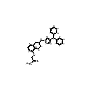 COC(=O)COc1cccc2c1CCC(Cn1cc(C(c3ccccc3)c3ccccc3)cn1)C2